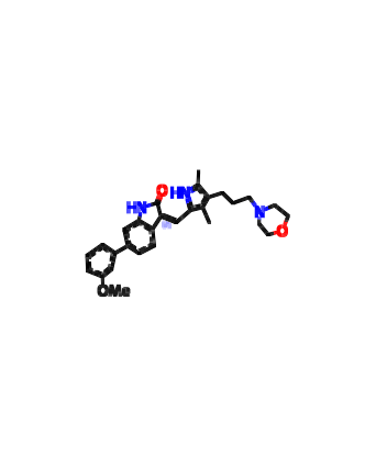 COc1cccc(-c2ccc3c(c2)NC(=O)/C3=C\c2[nH]c(C)c(CCCN3CCOCC3)c2C)c1